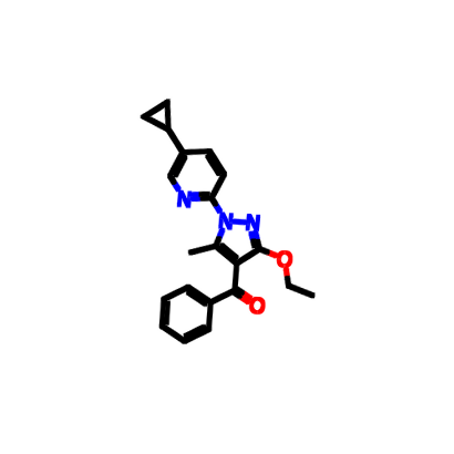 CCOc1nn(-c2ccc(C3CC3)cn2)c(C)c1C(=O)c1ccccc1